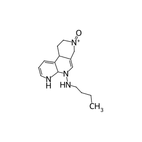 CCCCNN1C=C2C[N+](=O)CCC2C2=CC=CNC21